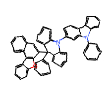 c1ccc(-n2c3ccccc3c3ccc(N4c5ccccc5C(c5ccccc5)(c5cc6ccccc6c6c5oc5ccccc56)c5ccccc54)cc32)cc1